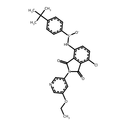 CCOc1cncc(N2C(=O)c3c(Cl)ccc(N[S+]([O-])c4ccc(C(C)(C)C)cc4)c3C2=O)c1